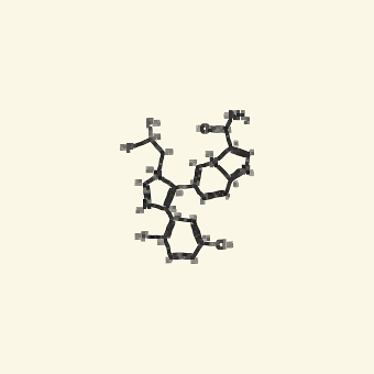 NC(=O)c1cnc2ccc(-c3c(-c4cc(Cl)ccc4F)ncn3CC(F)F)cn12